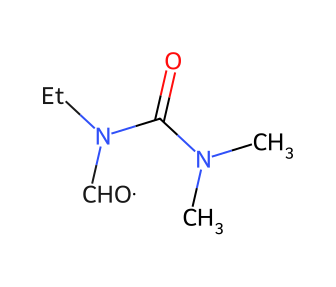 CCN([C]=O)C(=O)N(C)C